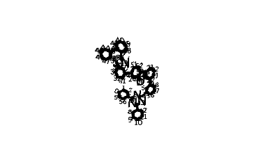 c1ccc(-c2nc(-c3ccccc3)nc(-c3cccc(-c4cccc5c4oc4cc(-c6cccc7sc(-c8ccccc8-c8ccccc8)nc67)ccc45)c3)n2)cc1